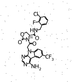 Nc1ncnc2c1c1cc(C(F)(F)F)ccc1n2CC(=O)N1C(=O)OC[C@H]1C(=O)NCc1cccc(Cl)c1F